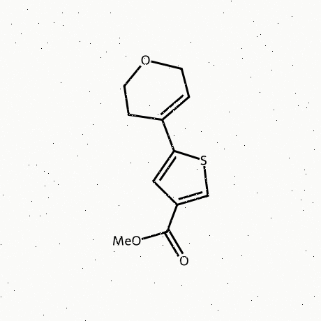 COC(=O)c1csc(C2=CCOCC2)c1